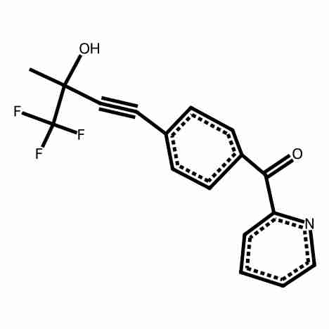 CC(O)(C#Cc1ccc(C(=O)c2ccccn2)cc1)C(F)(F)F